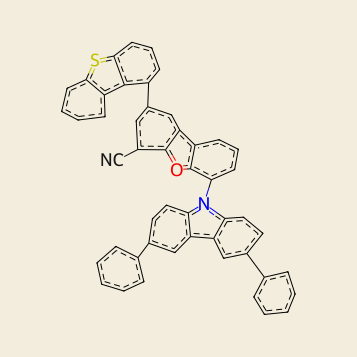 N#Cc1cc(-c2cccc3sc4ccccc4c23)cc2c1oc1c(-n3c4ccc(-c5ccccc5)cc4c4cc(-c5ccccc5)ccc43)cccc12